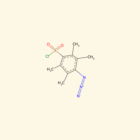 Cc1c(C)c(S(=O)(=O)Cl)c(C)c(C)c1N=[N+]=[N-]